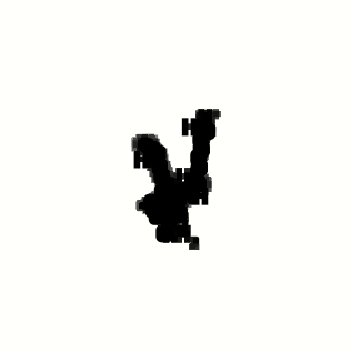 CCCC1O[C@@H]2C[C@H]3[C@@H]4C[C@H](F)C5=CC(=O)C=C[C@]5(C)[C@@]4(F)[C@@H](O)C[C@]3(C)[C@]2(C(=O)CNC(=O)[C@H](CCCNC(N)=O)NC(=O)[C@@H](NC(=O)[C@@H](CCCCNC(=O)COC2CCCCC/C(NCCOCCOCCOCCOCCC(=O)NCC[N+](C)(C)C)=C\2N)NC(=O)CCOCCOCCOCCOCCNC(=O)COC2C#CCCCCC2)C(C)C)O1